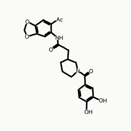 CC(=O)c1cc2c(cc1NC(=O)CC1CCCN(C(=O)c3ccc(O)c(O)c3)C1)OCO2